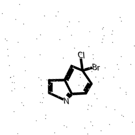 ClC1(Br)C=CC2=NC=[C]C2=C1